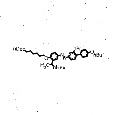 CCCCCCCCCCCCCCCCOc1ccc(/N=N/c2ccc(-c3ccc(OCCCC)cc3)c(CCC)c2)cc1C(C)CCCCCC